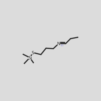 CC/C=N/CCCS[Si](C)(C)C